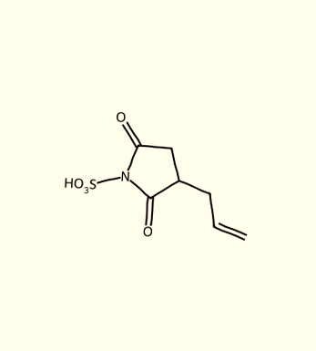 C=CCC1CC(=O)N(S(=O)(=O)O)C1=O